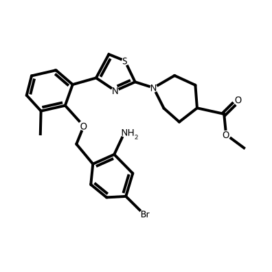 COC(=O)C1CCN(c2nc(-c3cccc(C)c3OCc3ccc(Br)cc3N)cs2)CC1